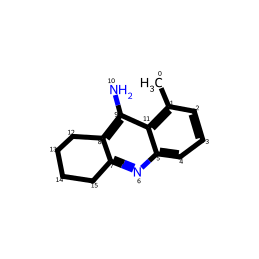 Cc1cccc2nc3c(c(N)c12)CCCC3